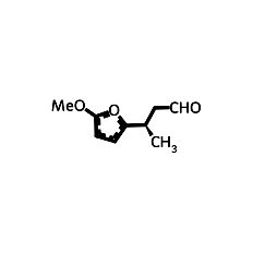 COc1ccc([C@H](C)CC=O)o1